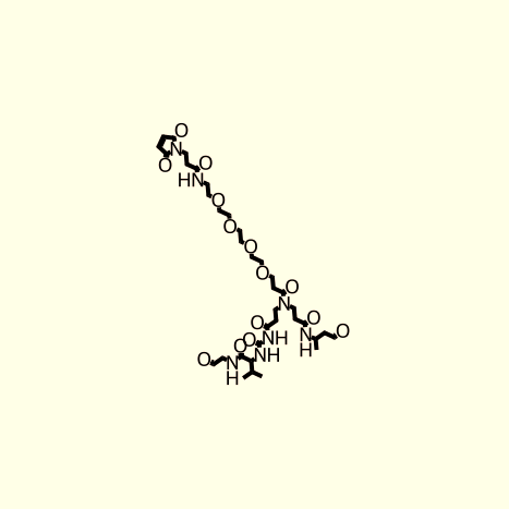 CC(CC=O)NC(=O)CCN(CCC(=O)NC(=O)NC(C(=O)NCC=O)C(C)C)C(=O)CCOCCOCCOCCOCCNC(=O)CCN1C(=O)C=CC1=O